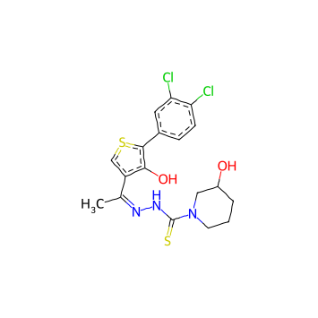 C/C(=N/NC(=S)N1CCCC(O)C1)c1csc(-c2ccc(Cl)c(Cl)c2)c1O